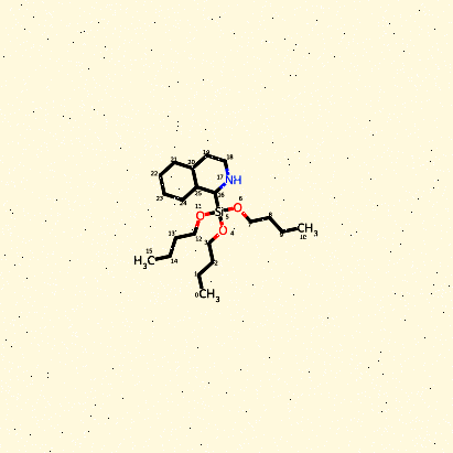 CCCCO[Si](OCCCC)(OCCCC)C1NCCC2CCCCC21